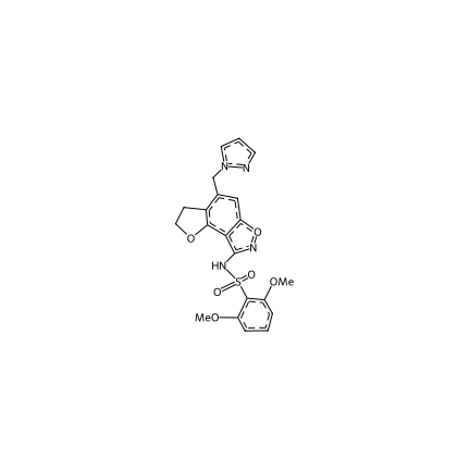 COc1cccc(OC)c1S(=O)(=O)Nc1noc2cc(Cn3cccn3)c3c(c12)OCC3